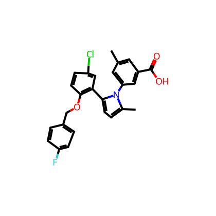 Cc1cc(C(=O)O)cc(-n2c(C)ccc2-c2cc(Cl)ccc2OCc2ccc(F)cc2)c1